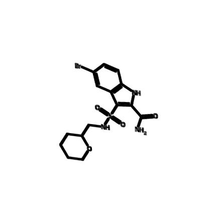 NC(=O)c1[nH]c2ccc(Br)cc2c1S(=O)(=O)NCC1CCCCO1